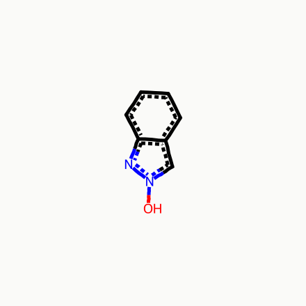 On1cc2ccccc2n1